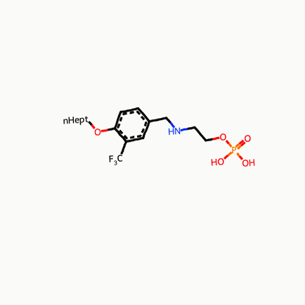 CCCCCCCOc1ccc(CNCCOP(=O)(O)O)cc1C(F)(F)F